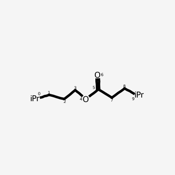 CC(C)CCCOC(=O)CCC(C)C